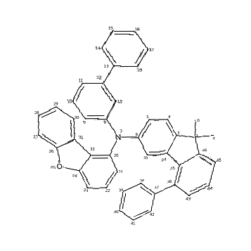 CC1(C)c2ccc(N(c3cccc(-c4ccccc4)c3)c3cccc4oc5ccccc5c34)cc2-c2c(-c3ccccc3)cccc21